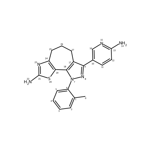 Cc1ccccc1-n1nc(-c2ccc(N)nc2)c2c1-c1sc(N)nc1CCC2